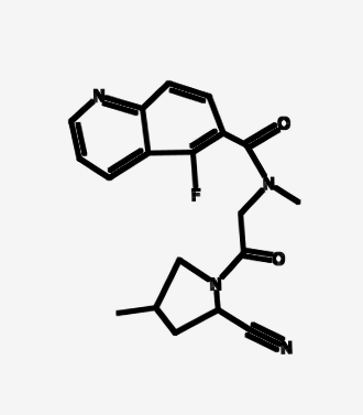 CC1CC(C#N)N(C(=O)CN(C)C(=O)c2ccc3ncccc3c2F)C1